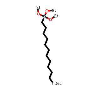 CCCCCCCCCCCCCCCCCCCCC[Si](OCC)(OCC)OCC